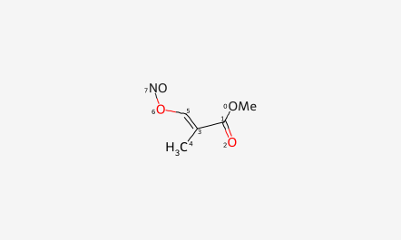 COC(=O)C(C)=CON=O